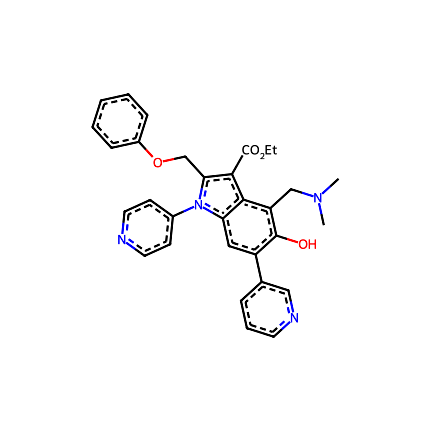 CCOC(=O)c1c(COc2ccccc2)n(-c2ccncc2)c2cc(-c3cccnc3)c(O)c(CN(C)C)c12